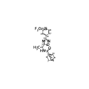 C[C@H](NC(=O)C12CCC(CC1)CC2)c1nc(-c2ccnc(C(F)(F)F)c2)no1